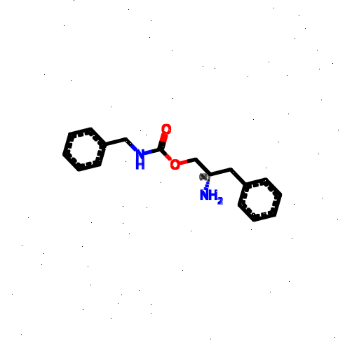 N[C@H](COC(=O)NCc1ccccc1)Cc1ccccc1